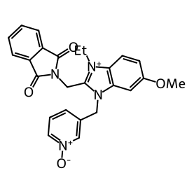 CC[n+]1c(CN2C(=O)c3ccccc3C2=O)n(Cc2ccc[n+]([O-])c2)c2cc(OC)ccc21